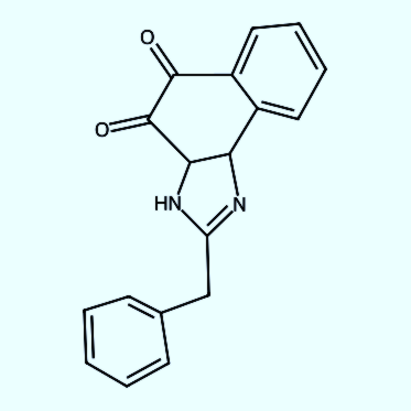 O=C1C(=O)C2NC(Cc3ccccc3)=NC2c2ccccc21